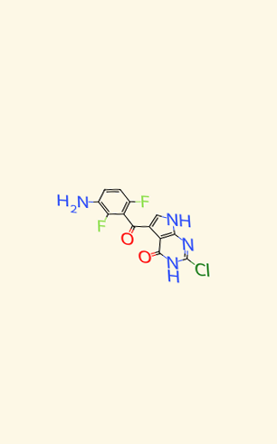 Nc1ccc(F)c(C(=O)c2c[nH]c3nc(Cl)[nH]c(=O)c23)c1F